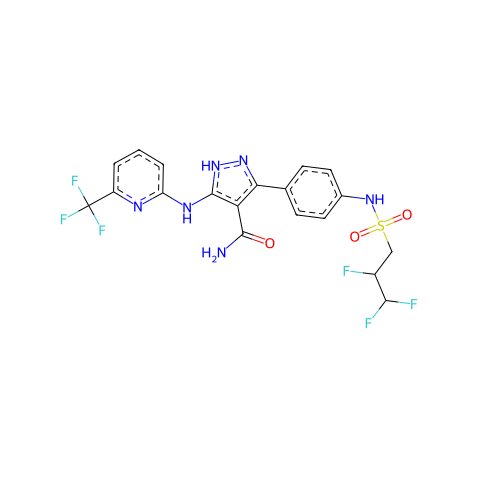 NC(=O)c1c(-c2ccc(NS(=O)(=O)CC(F)C(F)F)cc2)n[nH]c1Nc1cccc(C(F)(F)F)n1